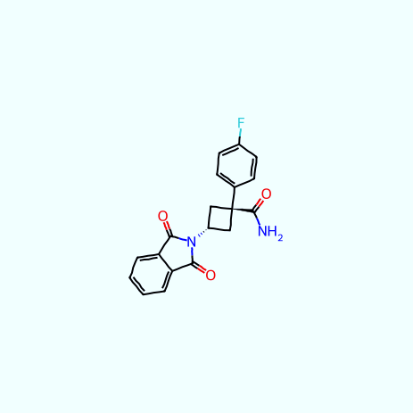 NC(=O)[C@]1(c2ccc(F)cc2)C[C@@H](N2C(=O)c3ccccc3C2=O)C1